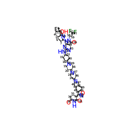 CC[C@@]1(O)CCc2ccc(-n3c4nc(Nc5ccc(N6CCC(N7CCC(N8Cc9cc%10onc(C%11CCC(=O)NC%11=O)c%10cc9C8)CC7)CC6)cc5)ncc4c(=O)n3CC=C(F)F)nc21